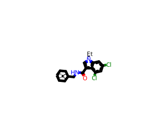 CCn1cc(C(=O)NCC23CCC(CC2)CC3)c2c(Cl)cc(Cl)cc21